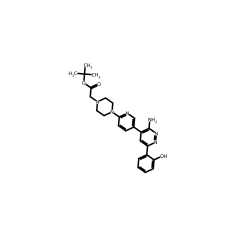 CC(C)(C)OC(=O)CN1CCN(c2ccc(-c3cc(-c4ccccc4O)nnc3N)cn2)CC1